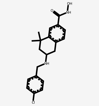 CC1(C)CC(NCc2ccc(Cl)cc2)Cc2ccc(C(=O)NO)cc21